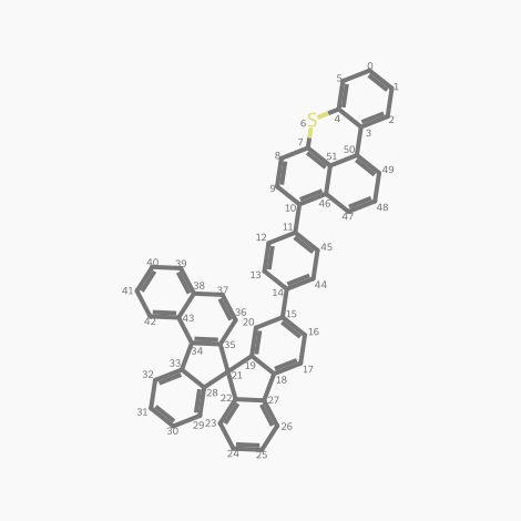 c1ccc2c(c1)Sc1ccc(-c3ccc(-c4ccc5c(c4)C4(c6ccccc6-5)c5ccccc5-c5c4ccc4ccccc54)cc3)c3cccc-2c13